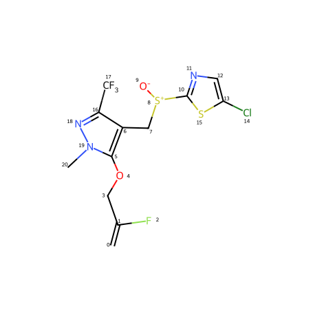 C=C(F)COc1c(C[S+]([O-])c2ncc(Cl)s2)c(C(F)(F)F)nn1C